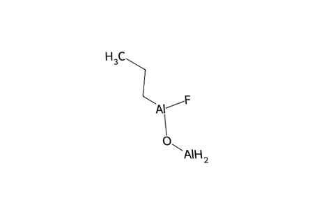 CC[CH2][Al]([F])[O][AlH2]